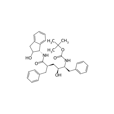 CC(C)(C)OC(=O)N[C@@H](Cc1ccccc1)[C@@H](O)C[C@@H](Cc1ccccc1)C(=O)N[C@H]1c2ccccc2CC1O